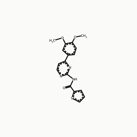 COc1ccc(-c2ccnc(NC(=O)c3cccs3)n2)cc1OC